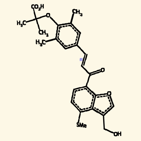 CSc1ccc(C(=O)/C=C/c2cc(C)c(OC(C)(C)C(=O)O)c(C)c2)c2occ(CO)c12